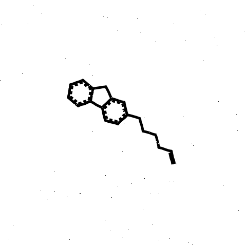 [CH]=CCCCCc1ccc2c(c1)Cc1ccccc1-2